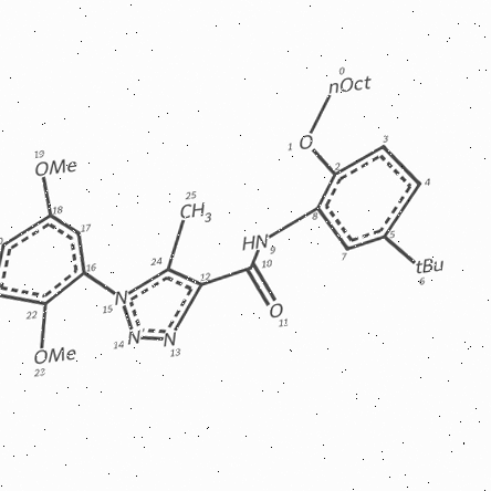 CCCCCCCCOc1ccc(C(C)(C)C)cc1NC(=O)c1nnn(-c2cc(OC)ccc2OC)c1C